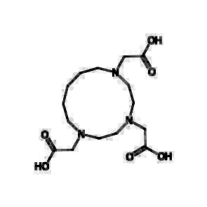 O=C(O)CN1CCCCCN(CC(=O)O)CCN(CC(=O)O)CC1